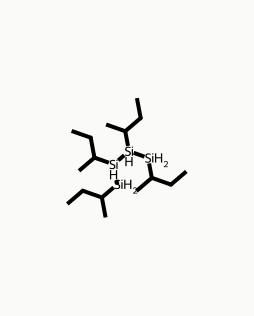 CCC(C)[SiH2][SiH](C(C)CC)[SiH]([SiH2]C(C)CC)C(C)CC